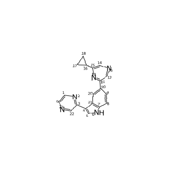 c1cnc(-c2c[nH]c3ccc(-c4cncc(C5CC5)n4)cc23)cn1